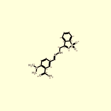 CN(C)c1ccc(/C=N/NCC2=NS(=O)(=O)c3ccccc32)cc1C(N)=O